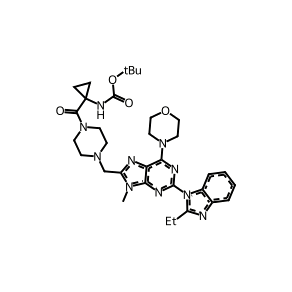 CCc1nc2ccccc2n1-c1nc(N2CCOCC2)c2nc(CN3CCN(C(=O)C4(NC(=O)OC(C)(C)C)CC4)CC3)n(C)c2n1